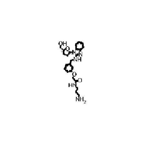 NCCCNC(=O)COc1cccc(CNc2nc3ccccc3n2[C@H]2CC[C@@H](CO)O2)c1